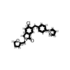 O=C1c2cc(Cc3ccc(-n4cccn4)cc3)c(Cl)cc2CN1CC1CCCO1